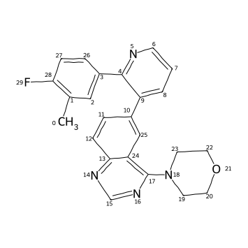 Cc1cc(-c2ncccc2-c2ccc3ncnc(N4CCOCC4)c3c2)ccc1F